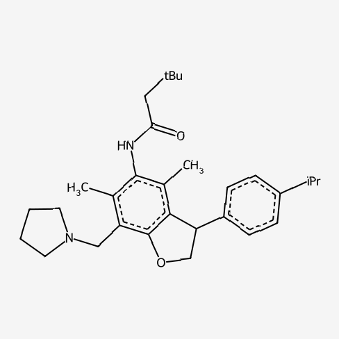 Cc1c(CN2CCCC2)c2c(c(C)c1NC(=O)CC(C)(C)C)C(c1ccc(C(C)C)cc1)CO2